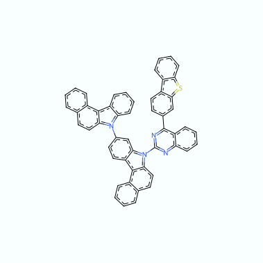 c1ccc2c(c1)ccc1c2c2ccccc2n1-c1ccc2c3c4ccccc4ccc3n(-c3nc(-c4ccc5c(c4)sc4ccccc45)c4ccccc4n3)c2c1